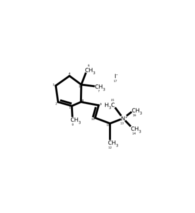 CC1=CCCC(C)(C)C1C=CC(C)[N+](C)(C)C.[I-]